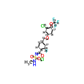 CNS(=O)(=O)N=C(OCl)c1ccc(COc2ccc(OC(F)(F)F)c(Cl)c2)cc1F